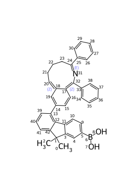 CC1(C)c2cc(B(O)O)ccc2-c2c(-c3ccc4/c(c3)=C\CCC/C(c3ccccc3)=N\C=4c3ccccc3)cccc21